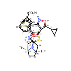 O=C(O)c1csc(-c2csc(N3[C@@H]4CC[C@H]3C[C@H](OCc3c(-c5ccccc5OC(F)(F)F)noc3C3CC3)C4)n2)c1